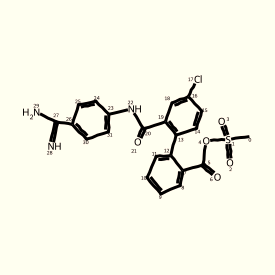 CS(=O)(=O)OC(=O)c1ccccc1-c1ccc(Cl)cc1C(=O)Nc1ccc(C(=N)N)cc1